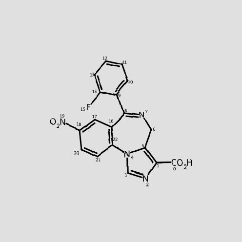 O=C(O)c1ncn2c1CN=C(c1ccccc1F)c1cc([N+](=O)[O-])ccc1-2